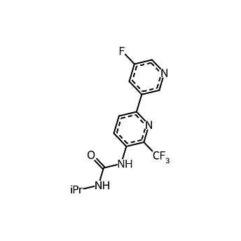 CC(C)NC(=O)Nc1ccc(-c2cncc(F)c2)nc1C(F)(F)F